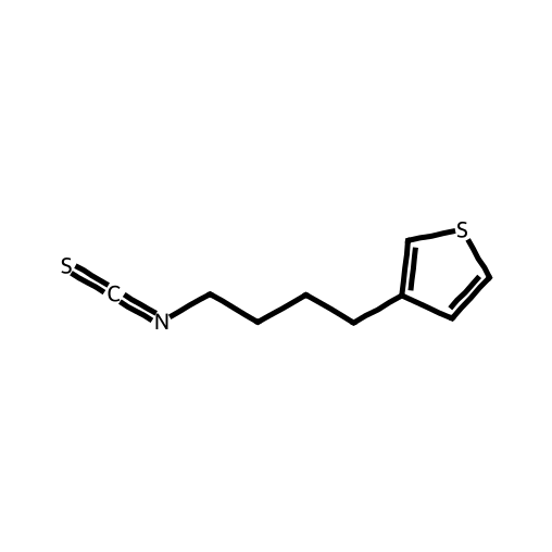 S=C=NCCCCc1ccsc1